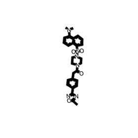 Cc1nc(-c2ccc(CC(=O)N3CCN(S(=O)(=O)c4cccc5c(N(C)C)cccc45)CC3)cc2)no1